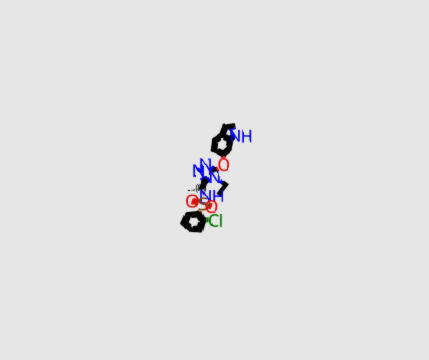 CCn1c(Oc2ccc3cc[nH]c3c2)nnc1[C@@H](C)NS(=O)(=O)c1ccccc1Cl